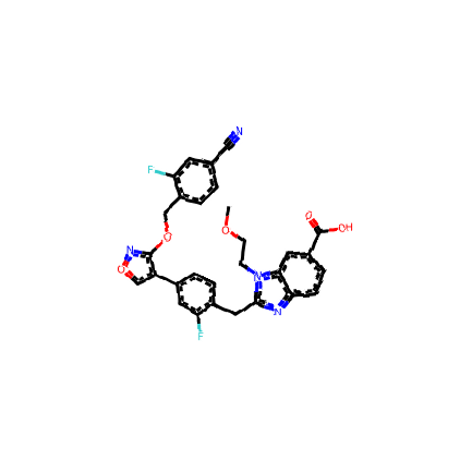 COCCn1c(Cc2ccc(-c3conc3OCc3ccc(C#N)cc3F)cc2F)nc2ccc(C(=O)O)cc21